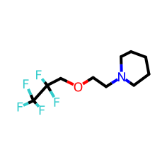 FC(F)(F)C(F)(F)COCCN1CCCCC1